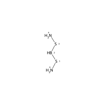 NSBSN